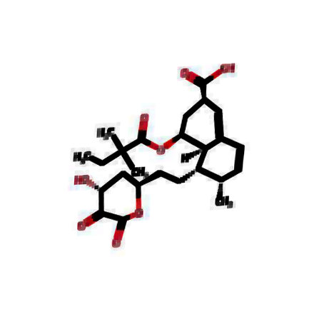 CCC(C)(C)C(=O)O[C@H]1C[C@@H](C(=O)O)C=C2C=C[C@H](C)[C@H](CC[C@@H]3C[C@@H](O)C(=O)C(=O)O3)[C@H]21